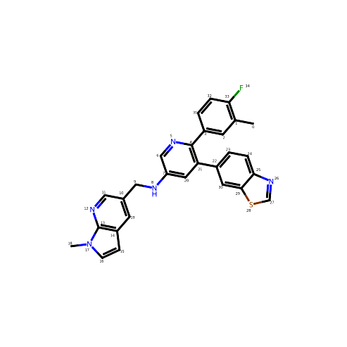 Cc1cc(-c2ncc(NCc3cnc4c(ccn4C)c3)cc2-c2ccc3ncsc3c2)ccc1F